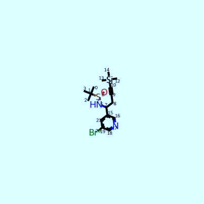 CC(C)(C)[S+]([O-])NC(CC#C[Si](C)(C)C)c1cncc(Br)c1